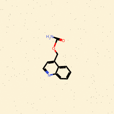 NC(=O)OCc1ccnc2ccccc12